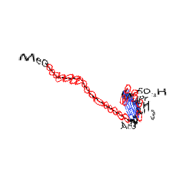 COCCOCCOCCOCCOCCOCCOCOCCOCCOCCOCCOCCOCCOCCOCCOCCOCC#Cc1cc(NC(=O)[C@H](C)NC(=O)[C@@H](NC(=O)CN2C(=O)[C@@H](N3C(=O)C=CC3=O)C[C@H]2COCCS(=O)(=O)O)C(C)C)ccc1COC(C)=O